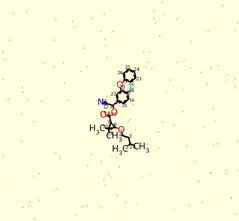 CC(C)CCOC1C(C(=O)OC(C#N)c2ccc(F)c(Oc3ccccc3)c2)C1(C)C